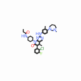 CCC(=O)N[C@H]1CC[C@@H](n2c(=O)c(-c3cccc(F)c3Cl)c(C)c3cnc(Nc4ccc(N5CCCCN(C)C5)c(C)c4)nc32)CC1